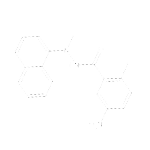 Cc1ccc([N+](=O)[O-])cc1C(=O)NN(C)c1cccc2ccccc12